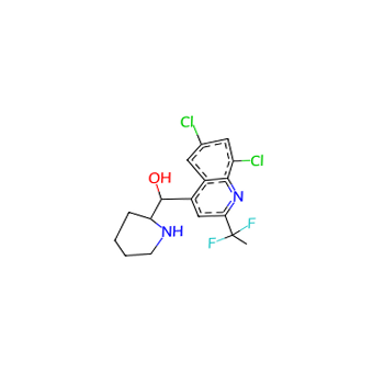 CC(F)(F)c1cc(C(O)C2CCCCN2)c2cc(Cl)cc(Cl)c2n1